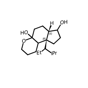 CCC(C(C)C)[C@]12CCC(O)[C@H]1CCC1(O)OCCCC12